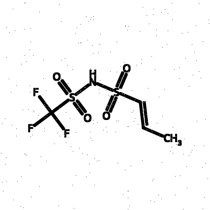 CC=CS(=O)(=O)NS(=O)(=O)C(F)(F)F